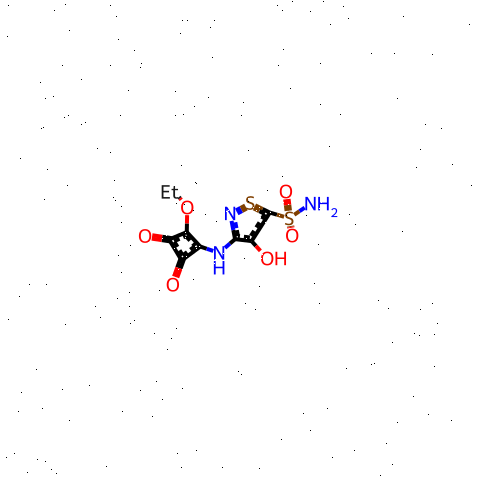 CCOc1c(Nc2nsc(S(N)(=O)=O)c2O)c(=O)c1=O